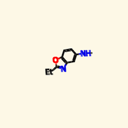 CCc1nc2cc([NH])ccc2o1